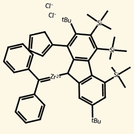 CC(C)(C)c1cc2c(c([Si](C)(C)C)c1)-c1c(c(C3=CC=CC3)c(C(C)(C)C)c([Si](C)(C)C)c1[Si](C)(C)C)[CH]2[Zr+2]=[C](c1ccccc1)c1ccccc1.[Cl-].[Cl-]